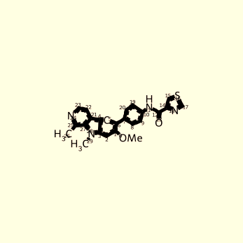 COc1cc2c(cc1-c1ccc(NC(=O)c3cscn3)cc1)c1ccnc(C)c1n2C